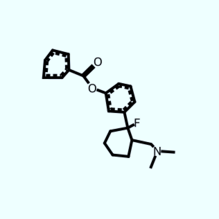 CN(C)CC1CCCCC1(F)c1cccc(OC(=O)c2ccccc2)c1